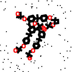 CC1(COc2ccc(C(C)(C)c3ccc(OCC4(C)COC4)c(Cc4cc(C(C)(C)c5ccc(OCC6(C)COC6)cc5)cc(Cc5cc(C(C)(C)c6ccc(OCC7(C)COC7)cc6)ccc5OCC5(C)COC5)c4OCC4(C)COC4)c3)cc2)CCC1